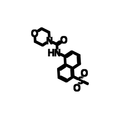 CS(=O)(=O)c1cccc2c(NC(=O)N3CCOCC3)cccc12